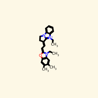 CCN1C(=CC=C2CCn3c2[n+](CC)c2ccccc23)Oc2cc(C)c(C)cc21